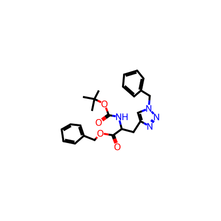 CC(C)(C)OC(=O)NC(Cc1cn(Cc2ccccc2)nn1)C(=O)OCc1ccccc1